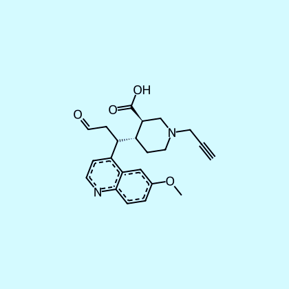 C#CCN1CC[C@H](C(CC=O)c2ccnc3ccc(OC)cc23)[C@@H](C(=O)O)C1